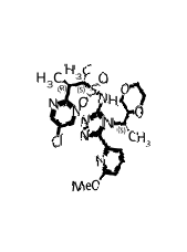 COc1cccc(-c2nnc(NS(=O)(=O)[C@@H](C)[C@H](C)c3ncc(Cl)cn3)n2[C@@H](C)C2COCCO2)n1